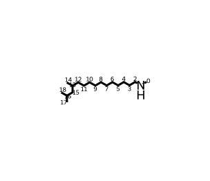 CNCCCCCCCCCCCC(C)CC(C)C